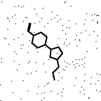 C=CC1CCC(C2CCC(CCC)C2)CC1